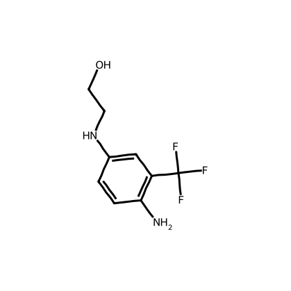 Nc1ccc(NCCO)cc1C(F)(F)F